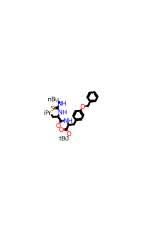 CCCCNC(=S)NC(CC(C)C)C(=O)NC(Cc1ccc(OCc2ccccc2)cc1)C(=O)OC(C)(C)C